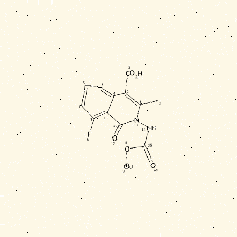 Cc1c(C(=O)O)c2cccc(F)c2c(=O)n1NC(=O)OC(C)(C)C